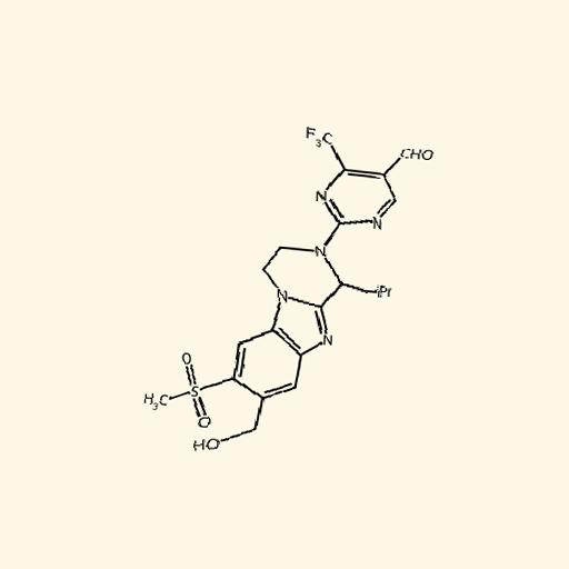 CC(C)C1c2nc3cc(CO)c(S(C)(=O)=O)cc3n2CCN1c1ncc(C=O)c(C(F)(F)F)n1